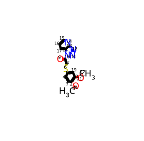 COc1ccc(SCC(=O)n2nnc3ncccc32)cc1OC